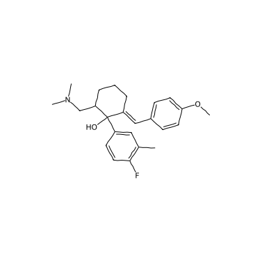 COc1ccc(C=C2CCCC(CN(C)C)C2(O)c2ccc(F)c(C)c2)cc1